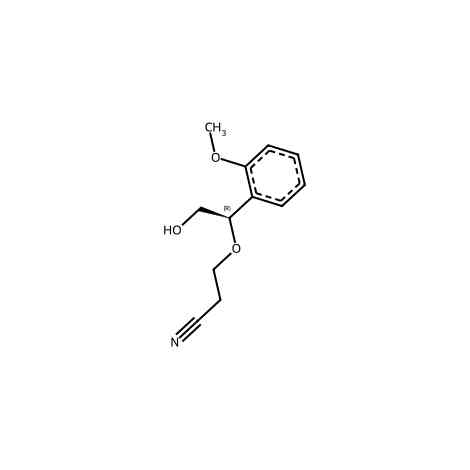 COc1ccccc1[C@H](CO)OCCC#N